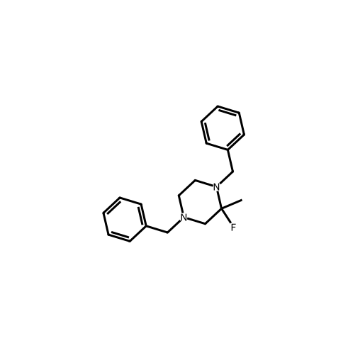 CC1(F)CN(Cc2ccccc2)CCN1Cc1ccccc1